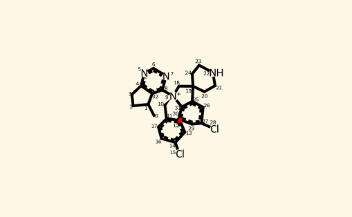 CC1CCc2ncnc([N@+]3(Cc4ccc(Cl)cc4)CC4(CCNCC4)c4cc(Cl)ccc43)c21